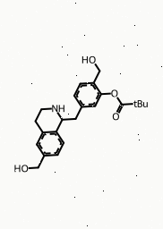 CC(C)(C)C(=O)Oc1cc(CC2NCCc3cc(CO)ccc32)ccc1CO